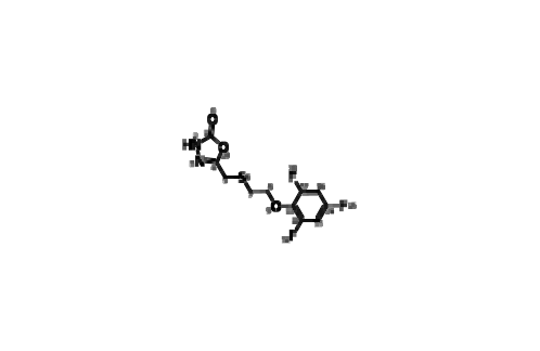 O=c1[nH]nc(CSCCOc2c(F)cc(F)cc2F)o1